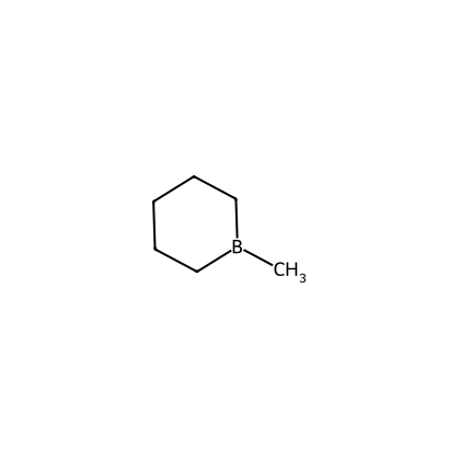 CB1CCCCC1